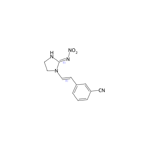 N#Cc1cccc(/C=C/N2CCN/C2=N\[N+](=O)[O-])c1